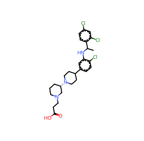 CC(Nc1cc(C2CCN([C@H]3CCCN(CCC(=O)O)C3)CC2)ccc1Cl)c1ccc(Cl)cc1Cl